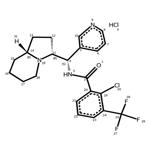 Cl.O=C(N[C@@H](c1cccnc1)[C@H]1CC[C@H]2CCCCN21)c1cccc(C(F)(F)F)c1Cl